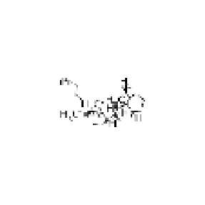 CC(C)CCC[C@@H](C)[C@H]1CC[C@H]2[C@@H]3CC[C@H]4CCCC(N)[C@]4(C)[C@H]3CC[C@]12C